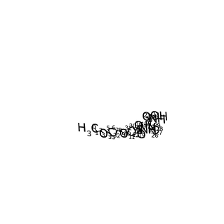 CCCOc1ccc(COc2ccc(S(=O)(=O)NC[C@@H](C(=O)NO)N3CCCCC3)cc2)cc1